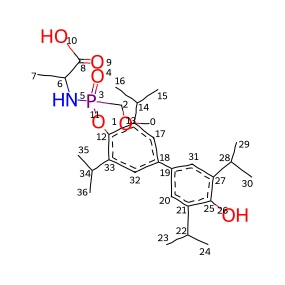 COCP(=O)(NC(C)C(=O)O)Oc1c(C(C)C)cc(-c2cc(C(C)C)c(O)c(C(C)C)c2)cc1C(C)C